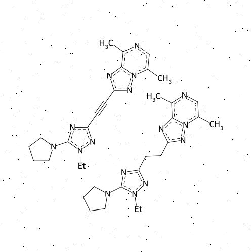 CCn1nc(C#Cc2nc3c(C)ncc(C)n3n2)nc1N1CCCC1.CCn1nc(CCc2nc3c(C)ncc(C)n3n2)nc1N1CCCC1